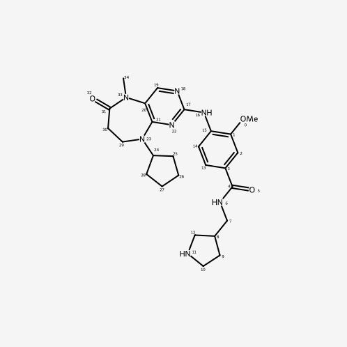 COc1cc(C(=O)NCC2CCNC2)ccc1Nc1ncc2c(n1)N(C1CCCC1)CCC(=O)N2C